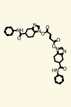 O=C(/C=C/C(=O)On1cnc2c1CCC(C(=O)Nc1ccccc1)C2)On1cnc2c1CCC(C(=O)Nc1ccccc1)C2